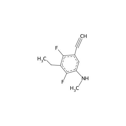 C#Cc1cc(NC)c(F)c(CC)c1F